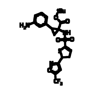 CC(C)(C)OC(=O)C1(NS(=O)(=O)C2=CCC(c3cc(C(F)(F)F)on3)S2)CC1c1cccc(N)c1